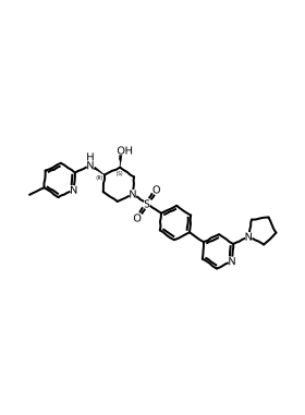 Cc1ccc(N[C@@H]2CCN(S(=O)(=O)c3ccc(-c4ccnc(N5CCCC5)c4)cc3)C[C@@H]2O)nc1